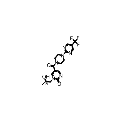 C[C@@H](O)Cn1cc(C(=O)N2CCN(c3ncc(C(F)(F)F)cn3)CC2)cnc1=O